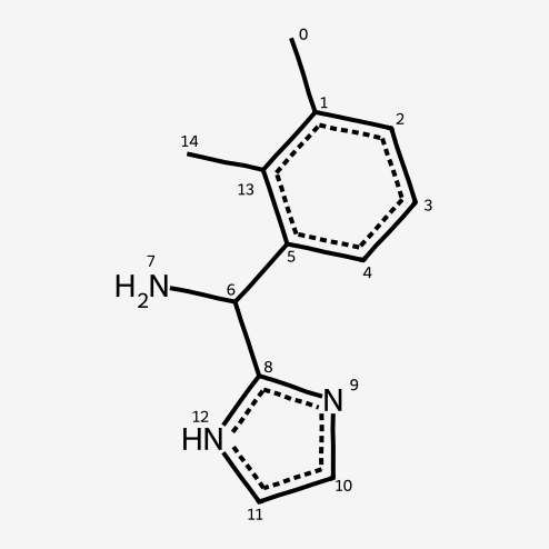 Cc1cccc(C(N)c2ncc[nH]2)c1C